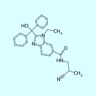 CCn1c(C(O)(c2ccccc2)c2ccccc2)nc2ccc(C(=O)NCC(C)C#N)cc21